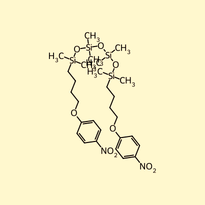 C[Si](C)(CCCCOc1ccc([N+](=O)[O-])cc1)O[Si](C)(C)O[Si](C)(C)O[Si](C)(C)CCCCOc1ccc([N+](=O)[O-])cc1